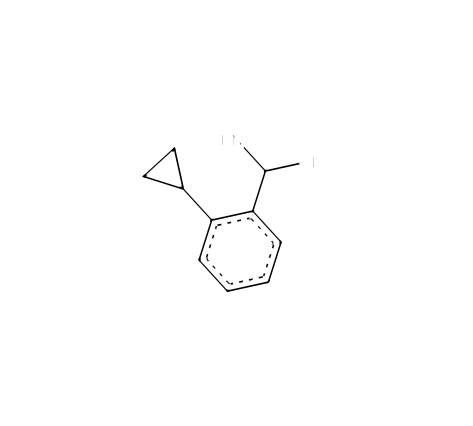 CC(N)c1ccccc1C1CC1